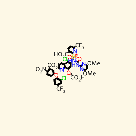 COc1cc(OC)nc(NC(=O)NS(=O)(=O)c2nc(C(F)(F)F)ccc2C(=O)O)n1.O=C(O)COc1ccc(Cl)c2cccnc12.O=C(O)c1cc(Oc2ccc(C(F)(F)F)cc2Cl)ccc1[N+](=O)[O-]